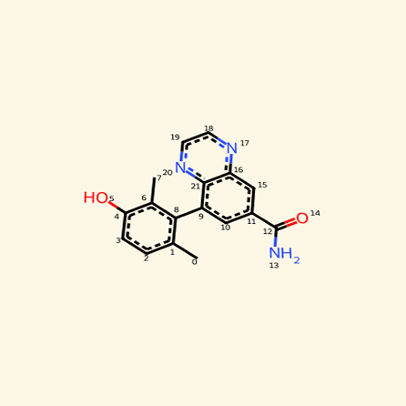 Cc1ccc(O)c(C)c1-c1cc(C(N)=O)cc2nccnc12